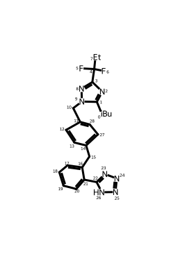 CCC(C)c1nc(C(F)(F)CC)nn1Cc1ccc(Cc2ccccc2-c2nnn[nH]2)cc1